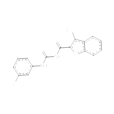 Cc1c(C(=O)NC(=S)Nc2cccc(C(F)(F)F)c2)oc2ccccc12